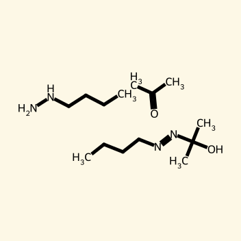 CC(C)=O.CCCCN=NC(C)(C)O.CCCCNN